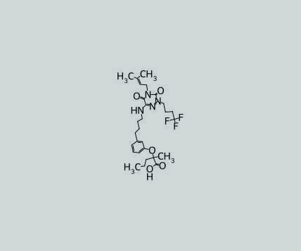 CCCC(C)(Oc1cccc(CCCCNc2nn(CCCC(F)(F)F)c(=O)n(CC=C(C)C)c2=O)c1)C(=O)O